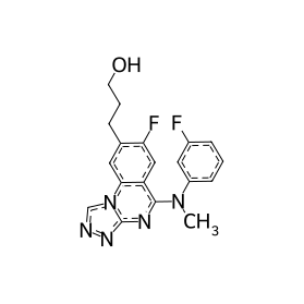 CN(c1cccc(F)c1)c1nc2nncn2c2cc(CCCO)c(F)cc12